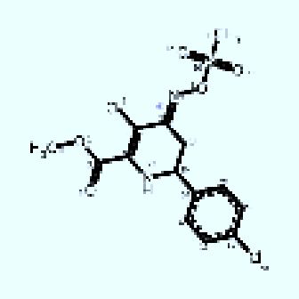 COC(=O)C1=C(Cl)/C(=N/OS(C)(=O)=O)CC(c2ccc(Cl)cc2)N1